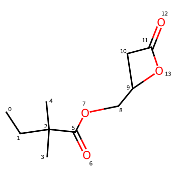 CCC(C)(C)C(=O)OCC1CC(=O)O1